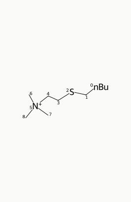 CCCCCSCC[N+](C)(C)C